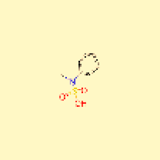 CN(c1ccccc1)S(=O)(=O)O